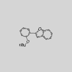 CCCCOc1ccccc1-c1cc2ccccc2o1